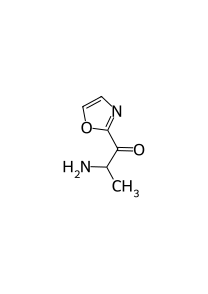 CC(N)C(=O)c1ncco1